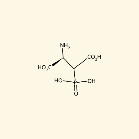 N[C@H](C(=O)O)C(C(=O)O)P(=O)(O)O